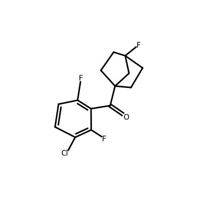 O=C(c1c(F)ccc(Cl)c1F)C12CCC(F)(CC1)C2